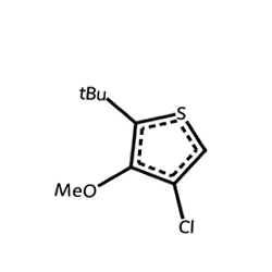 COc1c(Cl)csc1C(C)(C)C